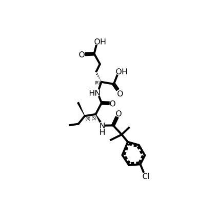 CC[C@@H](C)[C@H](NC(=O)C(C)(C)c1ccc(Cl)cc1)C(=O)N[C@H](CCC(=O)O)C(=O)O